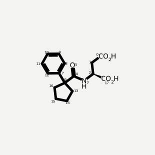 O=C(O)C[C@H](NC(=O)C1(c2ccccc2)CCCC1)C(=O)O